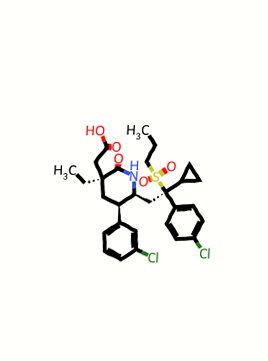 CCCS(=O)(=O)[C@](C[C@@H]1NC(=O)[C@](CC)(CC(=O)O)C[C@@H]1c1cccc(Cl)c1)(c1ccc(Cl)cc1)C1CC1